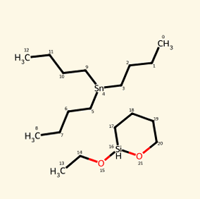 CCC[CH2][Sn]([CH2]CCC)[CH2]CCC.CCO[SiH]1CCCCO1